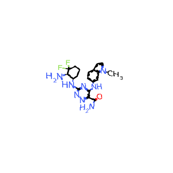 Cn1ccc2ccc(Nc3nc(N[C@@H]4CCCC(F)(F)[C@@H]4N)nnc3C(N)=O)cc21